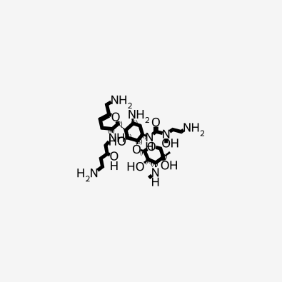 CN[C@@H]1[C@@H](O)[C@@H](O[C@H]2[C@H](NC(=O)N(O)CCN)C[C@H](N)C([C@H]3OC(CN)=CC[C@H]3NCC(O)CCN)[C@@H]2O)OC[C@]1(C)O